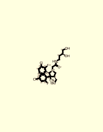 CC(C)(C)C[C@@H]1CN(CC(=O)NCC[C@H](O)CO)[C@H](c2cccc(Cl)c2F)C1(C#N)c1ccc(Cl)cc1F